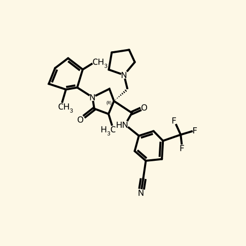 Cc1cccc(C)c1N1C[C@@](CN2CCCC2)(C(=O)Nc2cc(C#N)cc(C(F)(F)F)c2)C(C)C1=O